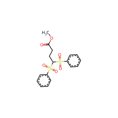 COC(=O)CCC(S(=O)(=O)c1ccccc1)S(=O)(=O)c1ccccc1